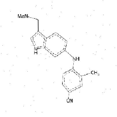 CNCc1c[nH]c2cc(Nc3ccc(C#N)cc3C)ccc12